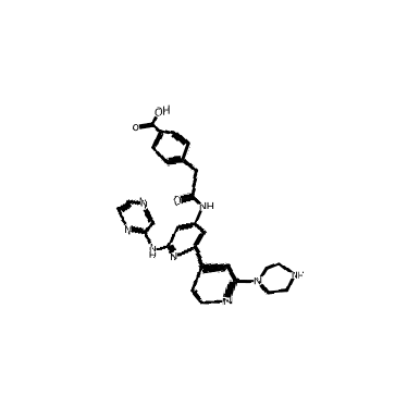 O=C(Cc1ccc(C(=O)O)cc1)Nc1cc(Nc2cnccn2)nc(-c2ccnc(N3CCNCC3)c2)c1